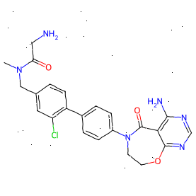 CN(Cc1ccc(-c2ccc(N3CCOc4ncnc(N)c4C3=O)cc2)c(Cl)c1)C(=O)CN